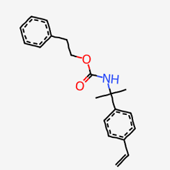 C=Cc1ccc(C(C)(C)NC(=O)OCCc2ccccc2)cc1